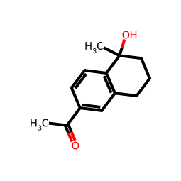 CC(=O)c1ccc2c(c1)CCCC2(C)O